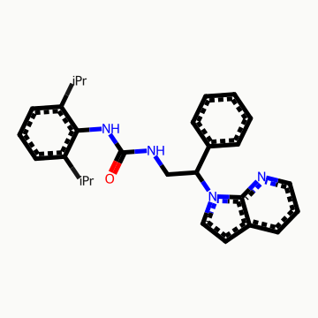 CC(C)c1cccc(C(C)C)c1NC(=O)NCC(c1ccccc1)n1ccc2cccnc21